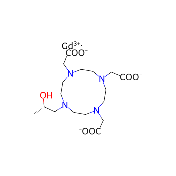 C[C@H](O)CN1CCN(CC(=O)[O-])CCN(CC(=O)[O-])CCN(CC(=O)[O-])CC1.[Gd+3]